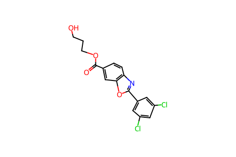 O=C(OCCCO)c1ccc2nc(-c3cc(Cl)cc(Cl)c3)oc2c1